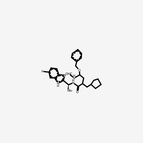 CC(C)(C)[C@H](NC(=O)C(CC1CCCC1)CC(NC=O)OCc1ccccc1)c1nc2ccc(F)cc2[nH]1